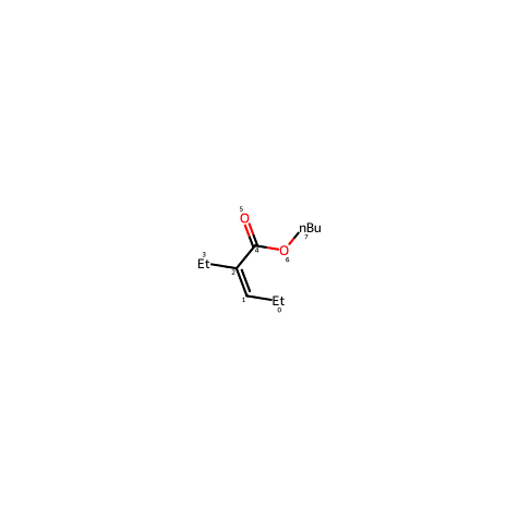 CCC=C(CC)C(=O)OCCCC